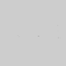 C=C1[C@H](O)CC(=C/C=C2\CCC[C@]3(C)[C@@H](C(C)CN4CC[C@H](C(F)F)C4)CC[C@@H]23)C[C@H]1O